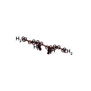 C=CC(=O)OCCCCCCOc1ccc(C(=O)Oc2ccc(C(=O)Oc3ccc(OCCCCCCCCOc4ccc(OC(=O)c5ccc(OC(=O)c6ccc(OCCCCCCOC(=O)C=C)cc6)cc5)c(/C=N/Nc5nc6ccccc6s5)c4)cc3/C=N/Nc3nc4ccccc4s3)cc2)cc1